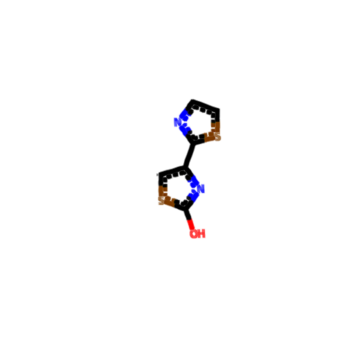 Oc1nc(-c2nccs2)[c]s1